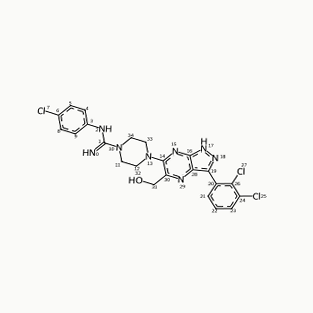 N=C(Nc1ccc(Cl)cc1)N1CCN(c2nc3[nH]nc(-c4cccc(Cl)c4Cl)c3nc2CO)CC1